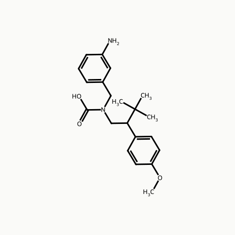 COc1ccc(C(CN(Cc2cccc(N)c2)C(=O)O)C(C)(C)C)cc1